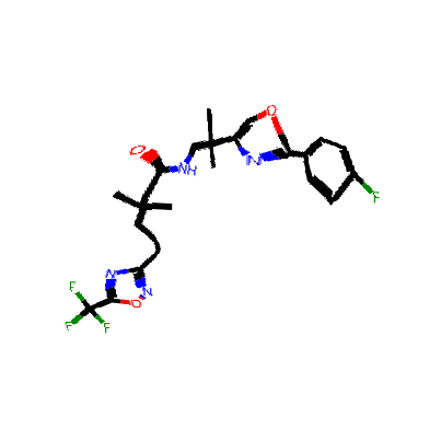 CC(C)(CCc1noc(C(F)(F)F)n1)C(=O)NCC(C)(C)c1coc(-c2ccc(F)cc2)n1